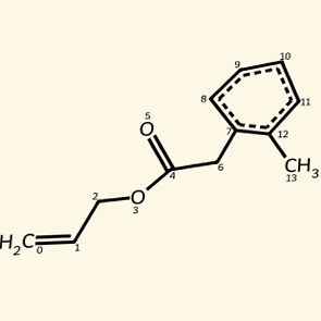 C=CCOC(=O)Cc1ccccc1C